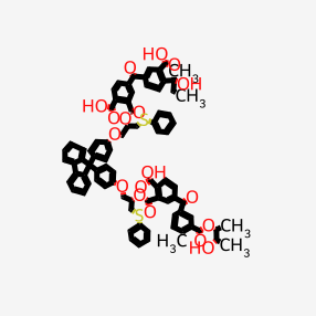 CCC(C)(O)c1ccc(C(=O)c2ccc(C(=O)O)c(C(=O)OC(COc3ccc(C4(c5ccc(OCC(CSc6ccccc6)OC(=O)c6cc(C(=O)c7ccc(C)c(C(=O)OC(C)C(C)O)c7)ccc6C(=O)O)cc5)c5ccccc5-c5ccccc54)cc3)CSc3ccccc3)c2)cc1C(=O)O